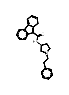 O=C(N[C@H]1CCN(CCc2ccccc2)C1)C1=C2CC=CC=C2c2ccccc21